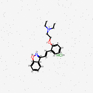 CCN(CC)CCOc1ccccc1C=Cc1noc2ccccc12.Cl